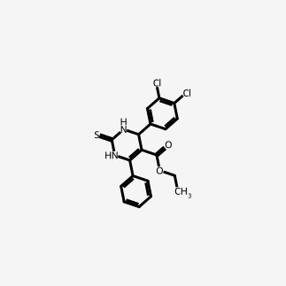 CCOC(=O)C1=C(c2ccccc2)NC(=S)NC1c1ccc(Cl)c(Cl)c1